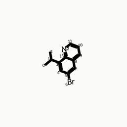 CC(C)c1cc(Br)cc2cccnc12